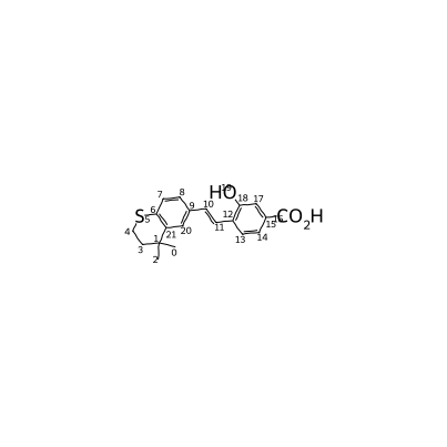 CC1(C)CCSc2ccc(C=Cc3ccc(C(=O)O)cc3O)cc21